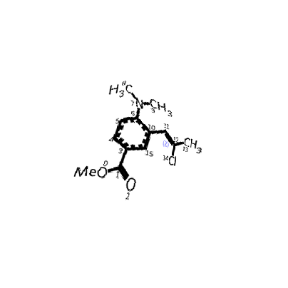 COC(=O)c1ccc(N(C)C)c(/C=C(/C)Cl)c1